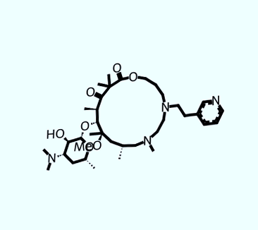 CO[C@]1(C)C[C@@H](C)CN(C)CCN(CCc2cccnc2)CCCOC(=O)C(C)(C)C(=O)[C@H](C)[C@H]1O[C@@H]1O[C@H](C)C[C@H](N(C)C)[C@H]1O